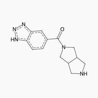 O=C(c1ccc2[nH]nnc2c1)N1CC2CNCC2C1